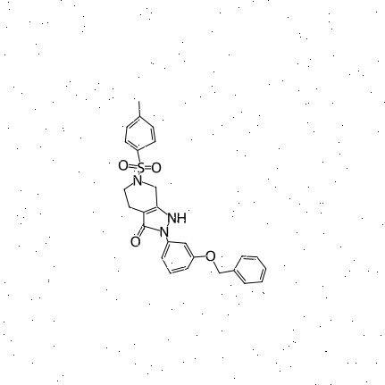 Cc1ccc(S(=O)(=O)N2CCc3c([nH]n(-c4cccc(OCc5ccccc5)c4)c3=O)C2)cc1